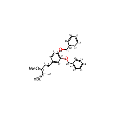 CCCCC(C)C(C=Cc1ccc(OCc2ccccc2)c(OCc2ccccc2)c1)OC